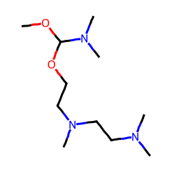 COC(OCCN(C)CCN(C)C)N(C)C